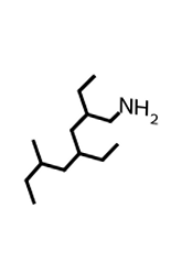 CCC(C)CC(CC)CC(CC)CN